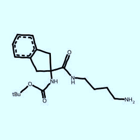 CC(C)(C)OC(=O)NC1(C(=O)NCCCCN)Cc2ccccc2C1